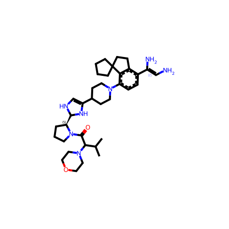 CC(C)C(C(=O)N1CCC[C@H]1C1NC=C(C2CCN(c3ccc(/C(N)=C/N)c4c3C3(CCCC3)CC4)CC2)N1)N1CCOCC1